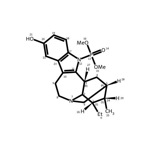 CC[C@@H]1C2[C@H]3C[C@@H](CN2CCc2c3n(P(=O)(OC)OC)c3ccc(O)cc23)[C@@H]1C